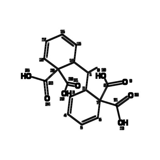 CC(C1C=CC=CC1(C(=O)O)C(=O)O)C1C=CC=CC1(C(=O)O)C(=O)O